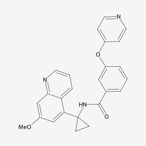 COc1cc(C2(NC(=O)c3cccc(Oc4ccncc4)c3)CC2)c2cccnc2c1